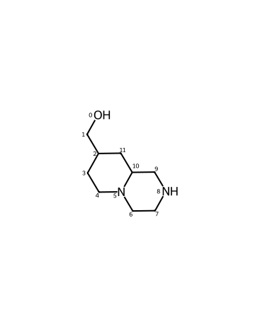 OCC1CCN2CCNCC2C1